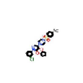 CC(=O)c1ccc(S(=O)(=O)N2CCN(c3cnn(-c4cccc(Cl)c4)c(=O)c3OC3CCCC3)CC2)cc1